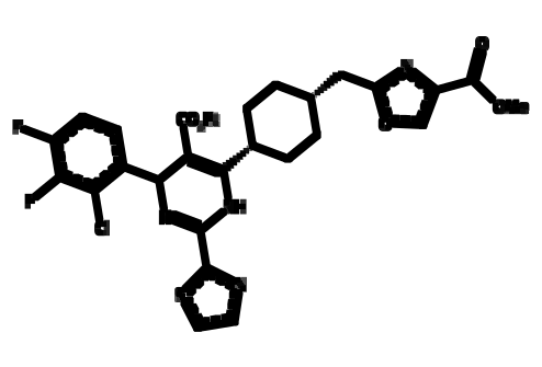 CCOC(=O)C1=C([C@H]2CC[C@@H](Cc3nc(C(=O)OC)co3)CC2)NC(c2nccs2)=NC1c1ccc(F)c(F)c1Cl